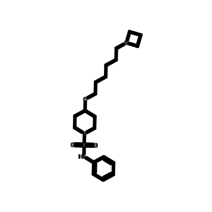 O=S(=O)(Nc1ccccc1)N1CCC(OCCCCCCN2CCC2)CC1